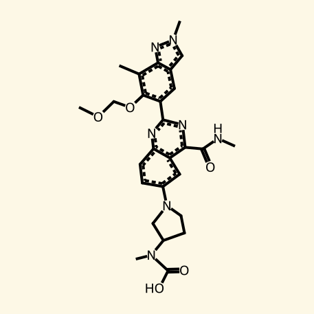 CNC(=O)c1nc(-c2cc3cn(C)nc3c(C)c2OCOC)nc2ccc(N3CCC(N(C)C(=O)O)C3)cc12